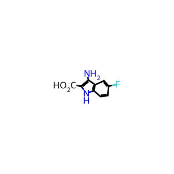 Nc1c(C(=O)O)[nH]c2ccc(F)cc12